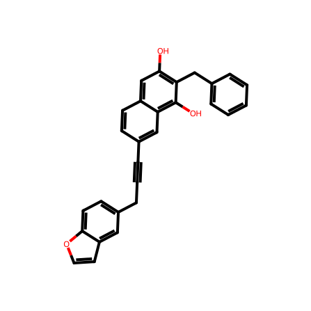 Oc1cc2ccc(C#CCc3ccc4occc4c3)cc2c(O)c1Cc1ccccc1